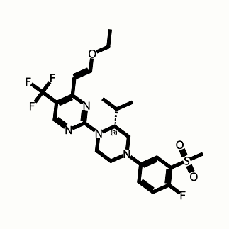 CCOC=Cc1nc(N2CCN(c3ccc(F)c(S(C)(=O)=O)c3)C[C@H]2C(C)C)ncc1C(F)(F)F